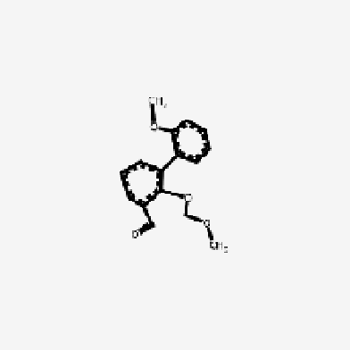 COCOc1c(C=O)cccc1-c1ccccc1OC